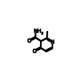 CC1=NC=CC(=O)C1C(N)=O